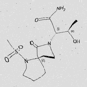 C[C@@H](O)[C@@H](C(N)=O)N1C[C@]2(CCCN2S(C)(=O)=O)C1=O